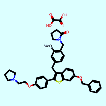 COc1cc(Cc2c(-c3ccc(OCCN4CCCC4)cc3)sc3cc(OCc4ccccc4)ccc23)ccc1CN1CCCC1=O.O=C(O)C(=O)O